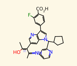 CC(=N)/C(=C(/C)O)c1cnc2c(-c3ccc(C(=O)O)c(F)c3)cn(C(c3ccccn3)C3CCCC3)c2c1